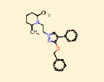 CC1CCCC(C)N1CCn1cc(-c2ccccc2)c(OCc2ccccc2)n1